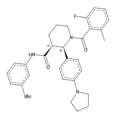 Cc1cccc(F)c1C(=O)N1CCC[C@H](C(=O)Nc2cccc(C(C)(C)C)c2)[C@@H]1c1ccc(N2CCCC2)cc1